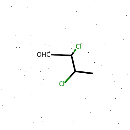 CC(Cl)C(Cl)C=O